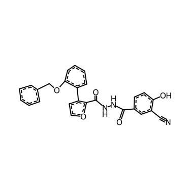 N#Cc1cc(C(=O)NNC(=O)c2occc2-c2ccccc2OCc2ccccc2)ccc1O